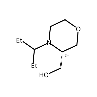 CCC(CC)N1CCOC[C@@H]1CO